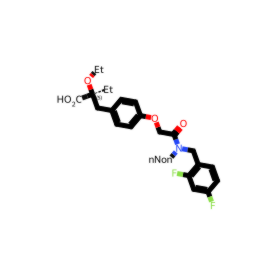 CCCCCCCCCN(Cc1ccc(F)cc1F)C(=O)COc1ccc(C[C@](CC)(OCC)C(=O)O)cc1